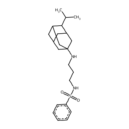 CC(C)C1C2CC3CC1CC(NCCCNS(=O)(=O)c1ccccc1)(C3)C2